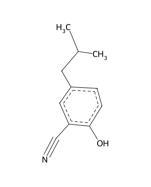 CC(C)Cc1ccc(O)c(C#N)c1